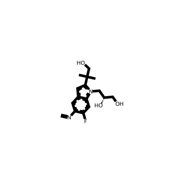 C=Nc1cc2cc(C(C)(C)CO)n(C[C@@H](O)CO)c2cc1F